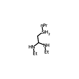 CCC[SiH2]CC(NCC)NCC